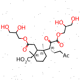 CC(=O)CC[C@@H](C(=O)C(=O)OCC(O)CO)[C@@]1(C)CCC[C@@](C)(C(=O)O)C1CC(=O)OCC(O)CO